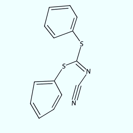 N#CN=C(Sc1ccccc1)Sc1ccccc1